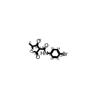 CC1SC(=O)C(C(=O)Nc2ccc(Br)cc2)C1=O